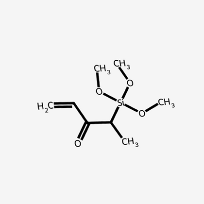 C=CC(=O)C(C)[Si](OC)(OC)OC